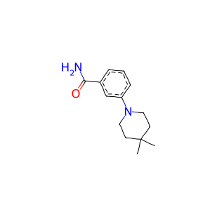 CC1(C)CCN(c2cccc(C(N)=O)c2)CC1